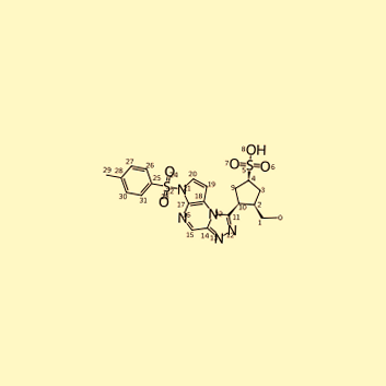 CC[C@@H]1C[C@H](S(=O)(=O)O)C[C@@H]1c1nnc2cnc3c(ccn3S(=O)(=O)c3ccc(C)cc3)n12